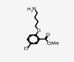 COC(=O)c1cc(Cl)ccc1OCCCCN